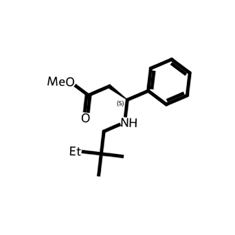 CCC(C)(C)CN[C@@H](CC(=O)OC)c1ccccc1